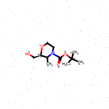 CC1[C@@H](CO)OCCN1C(=O)OC(C)(C)C